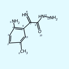 Cc1ccc(N)c(C(=N)C(=O)NN)c1